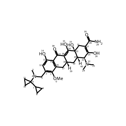 COc1c(CN(C)C2(C3CC3)CC2)cc(O)c2c1C[C@H]1C[C@H]3[C@H](N(C)C)C(O)=C(C(N)=O)C[C@@]3(O)C(O)=C1C2=O